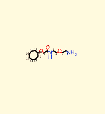 NCCOCCNC(=O)COC1CCCCCCC1